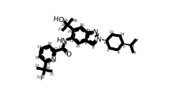 CC(C)[C@H]1CC[C@H](n2cc3cc(NC(=O)c4cccc(C(C)(C)F)n4)c(C(C)(C)O)cc3n2)CC1